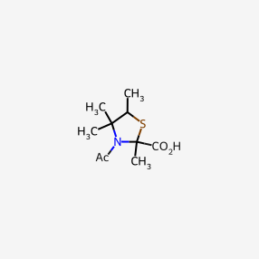 CC(=O)N1C(C)(C(=O)O)SC(C)C1(C)C